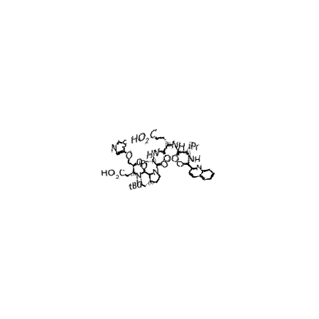 CC(C)[C@H](NC(=O)c1ccc2ccccc2n1)C(=O)N[C@@H](CCC(=O)O)C(=O)N[C@H](C(=O)N1CC[C@H](CC(C)(C)C)C1C(=O)N[C@@H](CC(=O)O)C(=O)COc1cncs1)C(C)C